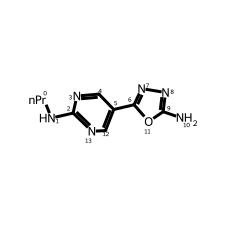 CCCNc1ncc(-c2nnc(N)o2)cn1